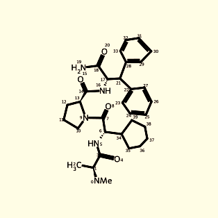 CN[C@@H](C)C(=O)N[C@H](C(=O)N1CCC[C@H]1C(=O)N[C@H](C(N)=O)C(c1ccccc1)c1ccccc1)C1CCCCC1